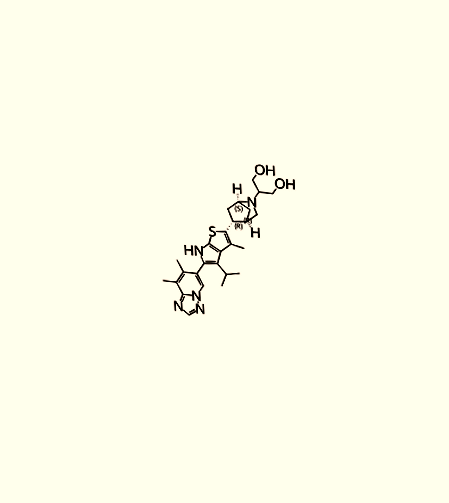 Cc1c(-c2[nH]c3sc([C@@H]4C[C@@H]5C[C@H]4CN5C(CO)CO)c(C)c3c2C(C)C)cn2ncnc2c1C